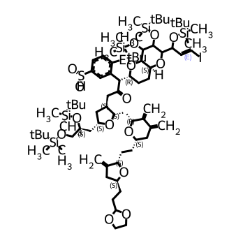 C=C1C[C@H](CC[C@@H]2O[C@@H](CCC3OCCO3)CC2=C)O[C@H](C[C@@H]2O[C@H](C[C@@H](CO[Si](C)(C)C(C)(C)C)O[Si](C)(C)C(C)(C)C)C[C@H]2CC(=O)C(c2cc([SH](=O)=O)ccc2CC)[C@H]2CC[C@@H]3OC(C(/C=C/I)O[Si](C)(C)C(C)(C)C)C(O[Si](C)(C)C(C)(C)C)C(O[Si](C)(C)C(C)(C)C)C3O2)C1=C